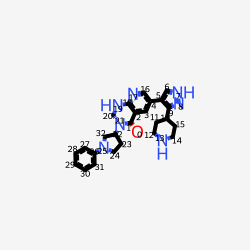 O=C1c2cc(-c3c[nH]nc3C3CCNCC3)cnc2NCN1C1CCN(c2ccccc2)C1